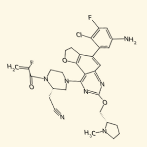 C=C(F)C(=O)N1CCN(c2nc(OC[C@@H]3CCCN3C)nc3cc(-c4cc(N)cc(F)c4Cl)c4c(c23)OCC4)C[C@@H]1CC#N